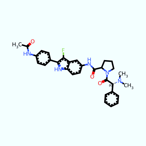 CC(=O)Nc1ccc(-c2[nH]c3ccc(NC(=O)C4CCCN4C(=O)[C@@H](c4ccccc4)N(C)C)cc3c2F)cc1